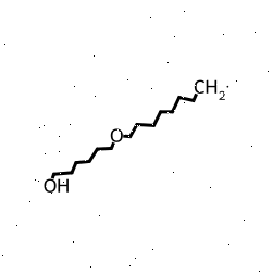 [CH2]CCCCCCCOCCCCCCO